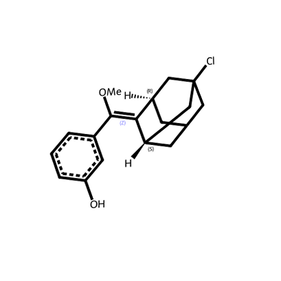 CO/C(=C1\[C@@H]2CC3C[C@H]1CC(Cl)(C3)C2)c1cccc(O)c1